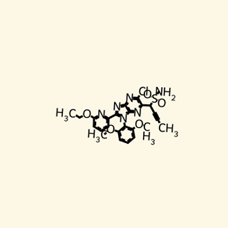 CC#CC(c1nc2c(nc1Cl)nc(-c1cccc(OCC)n1)n2-c1c(OC)cccc1OC)S(N)(=O)=O